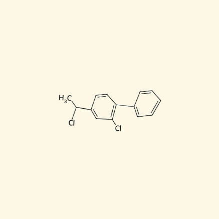 CC(Cl)c1ccc(-c2ccccc2)c(Cl)c1